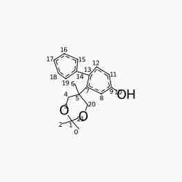 CC1(C)OCC(C)(c2cc(O)ccc2-c2ccccc2)CO1